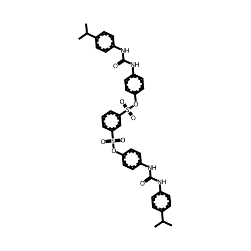 CC(C)c1ccc(NC(=O)Nc2ccc(OS(=O)(=O)c3cccc(S(=O)(=O)Oc4ccc(NC(=O)Nc5ccc(C(C)C)cc5)cc4)c3)cc2)cc1